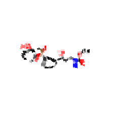 CC(C)(C)OC(=O)NCCC(=O)c1cccc(S(=O)(=O)CC2(O)CCCCC2)c1